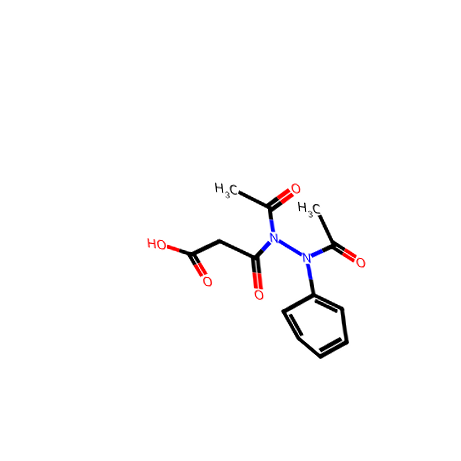 CC(=O)N(C(=O)CC(=O)O)N(C(C)=O)c1ccccc1